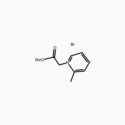 COC(=O)C[n+]1ccccc1C.[Br-]